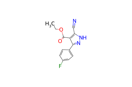 CCOC(=O)c1c(-c2ccc(F)cc2)n[nH]c1C#N